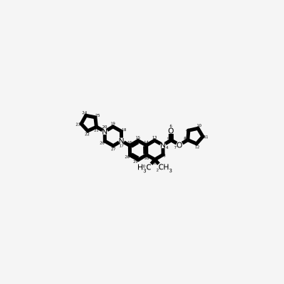 CC1(C)CN(C(=O)OC2CCCC2)Cc2cc(N3CCN(C4CCCC4)CC3)ccc21